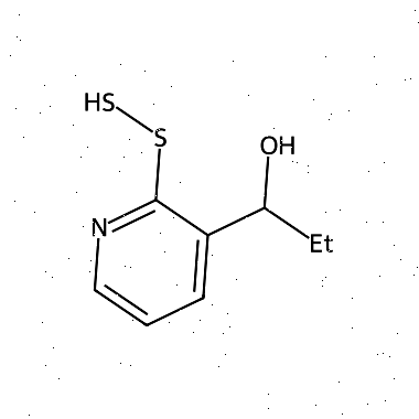 CCC(O)c1cccnc1SS